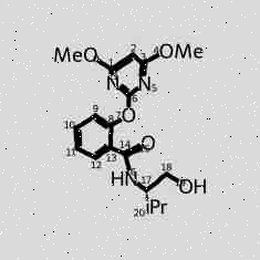 COc1cc(OC)nc(Oc2ccccc2C(=O)N[C@H](CO)C(C)C)n1